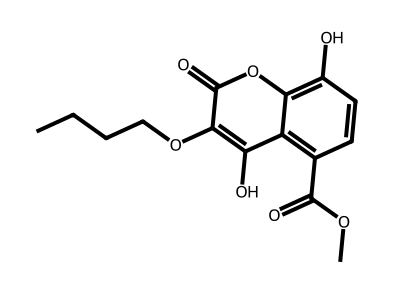 CCCCOc1c(O)c2c(C(=O)OC)ccc(O)c2oc1=O